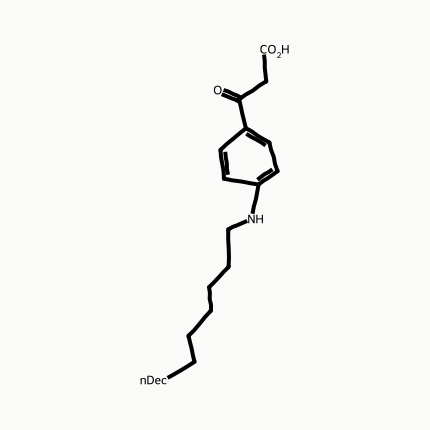 CCCCCCCCCCCCCCCCNc1ccc(C(=O)CC(=O)O)cc1